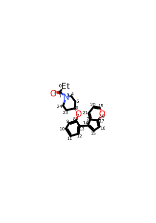 CCC(=O)N1CCC(Oc2ccccc2-c2ccc3occcc2-3)CC1